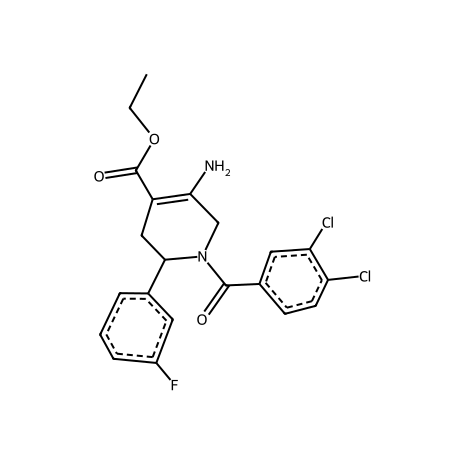 CCOC(=O)C1=C(N)CN(C(=O)c2ccc(Cl)c(Cl)c2)C(c2cccc(F)c2)C1